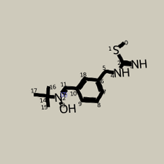 CSC(=N)NCc1cccc(/C=[N+](\O)C(C)(C)C)c1